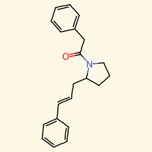 O=C(Cc1ccccc1)N1CCCC1C/C=C/c1ccccc1